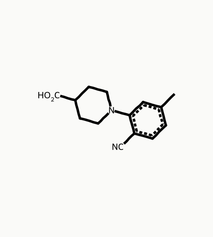 Cc1ccc(C#N)c(N2CCC(C(=O)O)CC2)c1